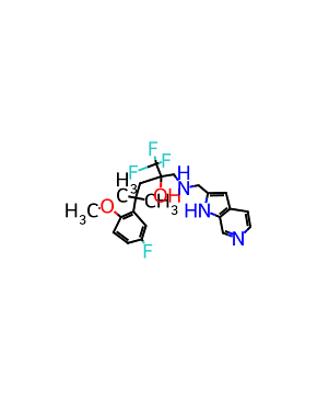 COc1ccc(F)cc1C(C)(C)CC(O)(CNCc1cc2ccncc2[nH]1)C(F)(F)F